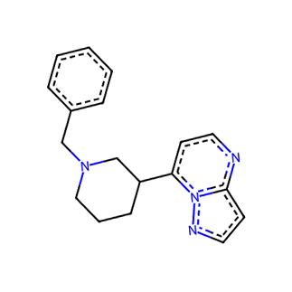 c1ccc(CN2CCCC(c3ccnc4ccnn34)C2)cc1